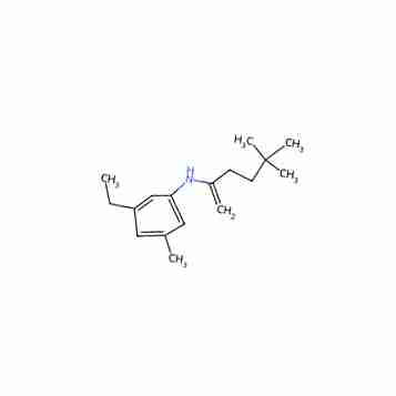 C=C(CCC(C)(C)C)Nc1cc(C)cc(CC)c1